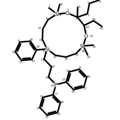 CCCC1(C)O[Si](C)(C)CCC[Si](CCCP(c2ccccc2)c2ccccc2)(c2ccccc2)CCC[Si](C)(C)OC1CC